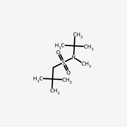 CN(C(C)(C)C)S(=O)(=O)CC(C)(C)C